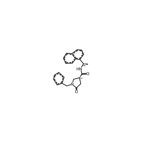 C[C@@H](NC(=O)[C@H]1CC(=O)N(Cc2ccccc2)C1)c1cccc2ccccc12